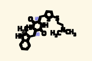 Cc1[nH]c2ccccc2c1/C=c1\[nH]c(=O)/c(=C/c2ccc(SCCN(C)C)s2)[nH]c1=O